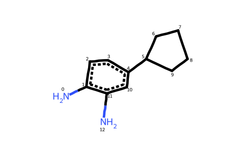 Nc1ccc(C2CCCC2)cc1N